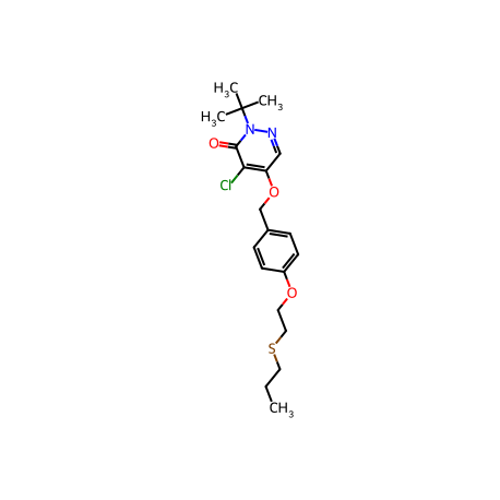 CCCSCCOc1ccc(COc2cnn(C(C)(C)C)c(=O)c2Cl)cc1